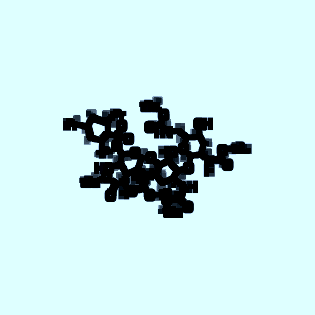 CC(C)c1cc(C(C)C)c(S(=O)(=O)OC2OC(OC3C(NC(=O)OC(C)(C)C)CC(NC(=O)OC(C)(C)C)C(OC4OC(CNC(=O)OC(C)(C)C)C(O)CC4NC(=O)OC(C)(C)C)C3O)C(O)C(NC(=O)OC(C)(C)C)C2O)c(C(C)C)c1